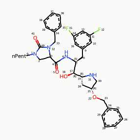 CCCCCN1CC(C(=O)N[C@@H](Cc2cc(F)cc(F)c2)[C@H](O)[C@H]2C[C@@H](OCc3ccccc3)CN2)N(Cc2ccccc2)C1=O